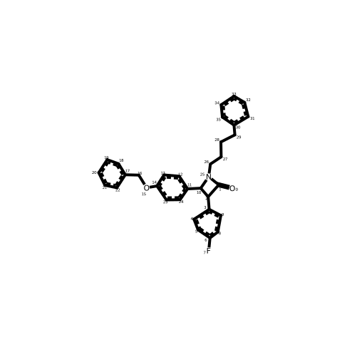 O=C1C(c2ccc(F)cc2)C(c2ccc(OCc3ccccc3)cc2)N1CCCCc1ccccc1